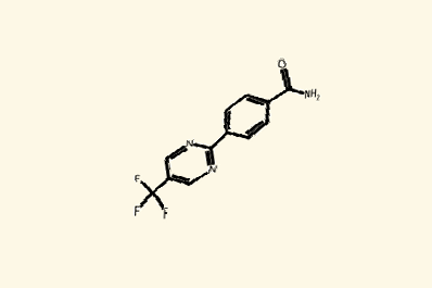 NC(=O)c1ccc(-c2ncc(C(F)(F)F)cn2)cc1